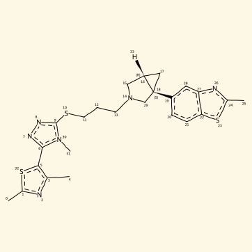 Cc1nc(C)c(-c2nnc(SCCCN3C[C@@H]4C[C@]4(c4ccc5sc(C)nc5c4)C3)n2C)s1